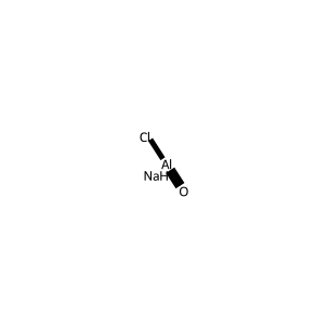 [NaH].[O]=[Al][Cl]